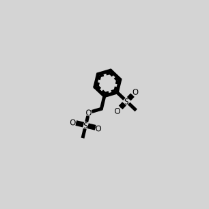 CS(=O)(=O)OCc1ccccc1S(C)(=O)=O